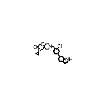 O=C1COC2(CCN(Cc3ccc(-c4ccc5cc[nH]c5c4)cc3Cl)CC2)CN1C1CC1